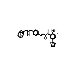 Nc1ccc(-c2cccs2)cc1NC(=O)/C=C/c1ccc(CNCC23CC4CC(CC2C4)C3)cc1